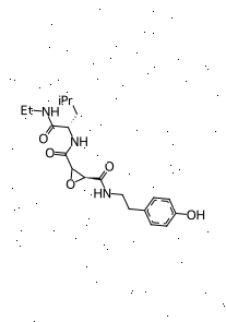 CCNC(=O)[C@H](CC(C)C)NC(=O)C1O[C@@H]1C(=O)NCCc1ccc(O)cc1